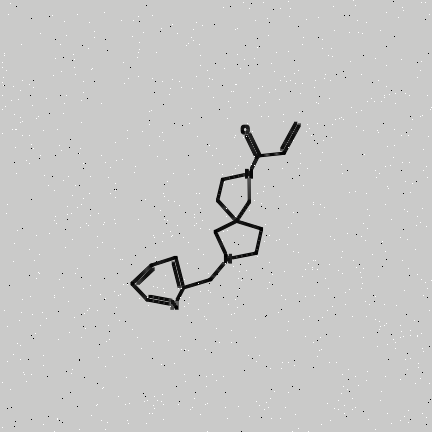 C=CC(=O)N1CCC2(CCN(Cc3ccccn3)C2)C1